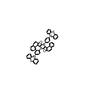 c1ccc2c(c1)Sc1ccccc1N2c1ccc(B2c3oc4ccc5ccccc5c4c3B(c3ccc(N4c5ccccc5Sc5ccccc54)cc3)c3oc4ccc5ccccc5c4c32)cc1